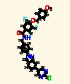 COc1ccc(COc2c(F)cc(C(=O)NCC34CCC(n5cc6ccc(-c7cnc(Cl)nc7)cc6n5)(CC3)CC4)c(F)c2F)cc1